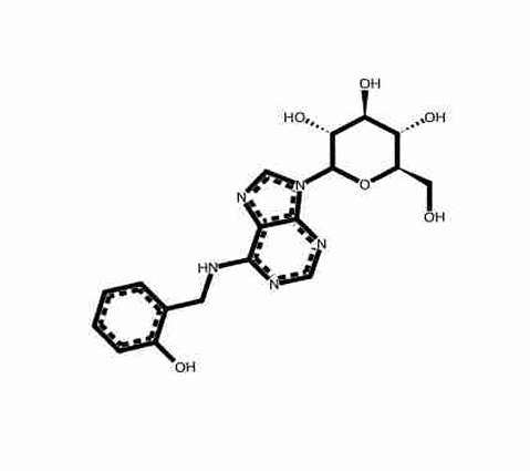 OC[C@H]1OC(n2cnc3c(NCc4ccccc4O)ncnc32)[C@H](O)[C@@H](O)[C@@H]1O